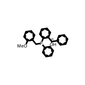 COc1ccccc1CP(c1ccccc1)c1ccccc1[C@H](O)c1ccccc1